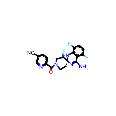 N#Cc1ccc(C(=O)N2CC[C@]3(N=C(N)c4c(F)ccc(F)c4N3)[C@H](F)C2)nc1